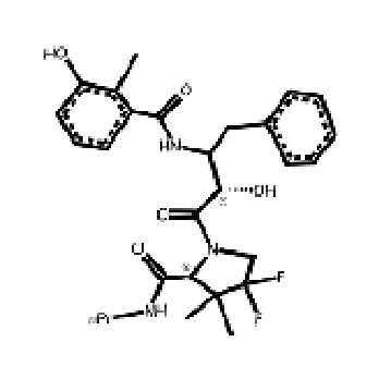 CCCNC(=O)[C@H]1N(C(=O)[C@@H](O)C(Cc2ccccc2)NC(=O)c2cccc(O)c2C)CC(F)(F)C1(C)C